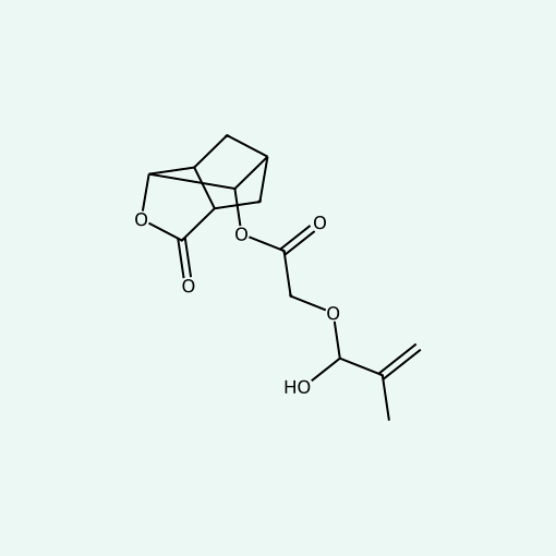 C=C(C)C(O)OCC(=O)OC1C2CC3C(=O)OC1C3C2